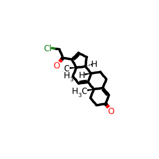 C[C@]12CCC(=O)C=C1CC[C@@H]1C2=CC[C@]2(C)C(C(=O)CCl)=CC[C@@H]12